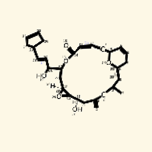 C=C1CC(C)C[C@@H]2CC=CC(C/C=C\C(=O)OC(C(O)/C=C/C3CC=CC3)C[C@@H]3OC3[C@@H](O)C1)O2